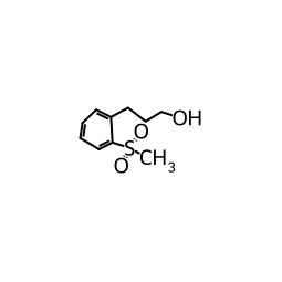 CS(=O)(=O)c1ccccc1CCCO